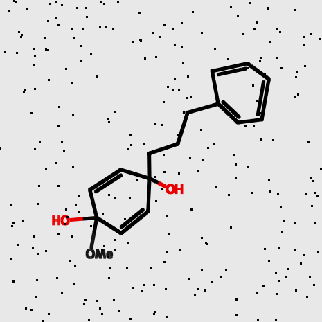 COC1(O)C=CC(O)(CC[CH]c2ccccc2)C=C1